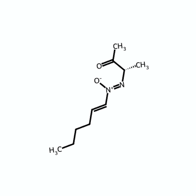 CCCC/C=C/[N+]([O-])=N/[C@@H](C)C(C)=O